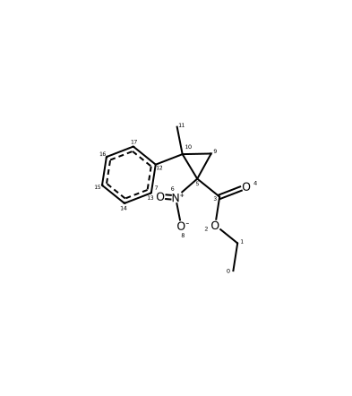 CCOC(=O)C1([N+](=O)[O-])CC1(C)c1ccccc1